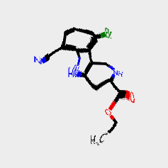 CCOC(=O)C1Cc2[nH]c3c(C#N)ccc(Br)c3c2CN1